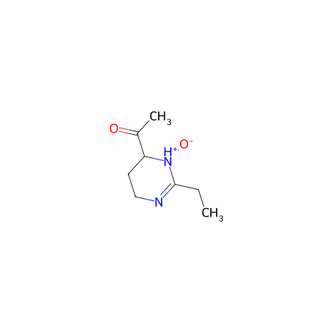 CCC1=NCCC(C(C)=O)[NH+]1[O-]